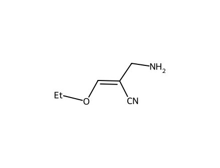 CCO/C=C(\C#N)CN